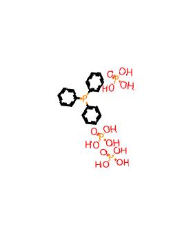 O=P(O)(O)O.O=P(O)(O)O.O=P(O)(O)O.c1ccc(P(c2ccccc2)c2ccccc2)cc1